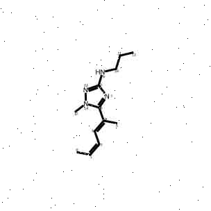 C/C=C\C=C(/C)c1nc(NCCC)nn1C